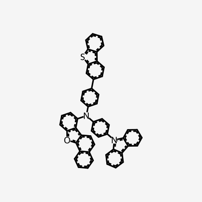 c1ccc2c(c1)ccc1c2oc2cccc(N(c3ccc(-c4ccc5c(c4)sc4ccccc45)cc3)c3ccc(-n4c5ccccc5c5ccccc54)cc3)c21